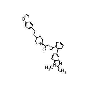 Cc1nc2cc(-c3ccccc3OCC(=O)N3CCC(CCc4ccc(OC(C)C)cc4)CC3)ccc2n1C